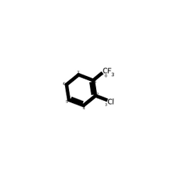 FC(F)(F)C1=C(Cl)C=CCC1